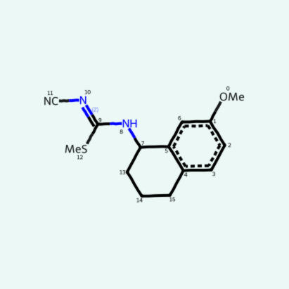 COc1ccc2c(c1)C(N/C(=N/C#N)SC)CCC2